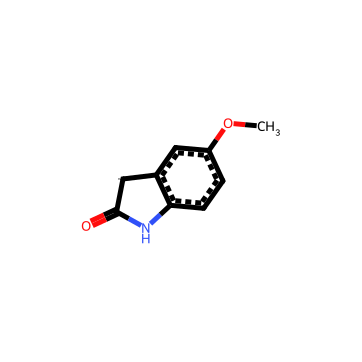 COc1ccc2c(c1)[CH]C(=O)N2